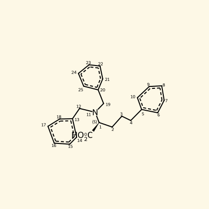 O=C(O)[C@H](CCCc1ccccc1)N(Cc1ccccc1)Cc1ccccc1